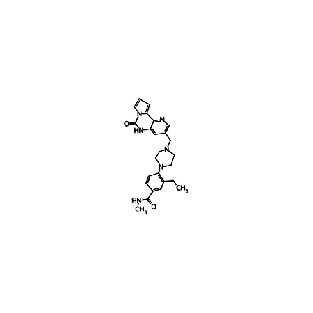 CCc1cc(C(=O)NC)ccc1N1CCN(Cc2cnc3c(c2)[nH]c(=O)n2cccc32)CC1